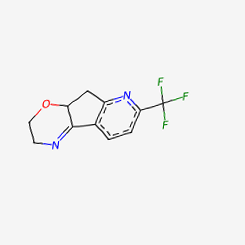 FC(F)(F)c1ccc2c(n1)CC1OCCN=C21